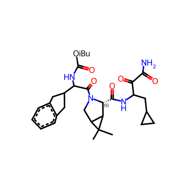 CC(C)COC(=O)NC(C(=O)N1CC2C([C@H]1C(=O)NC(CC1CC1)C(=O)C(N)=O)C2(C)C)C1Cc2ccccc2C1